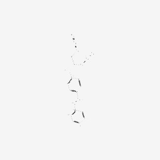 [N-]=[N+]=NCC(N=[N+]=[N-])Oc1ccc(N=Nc2ccccc2)cc1